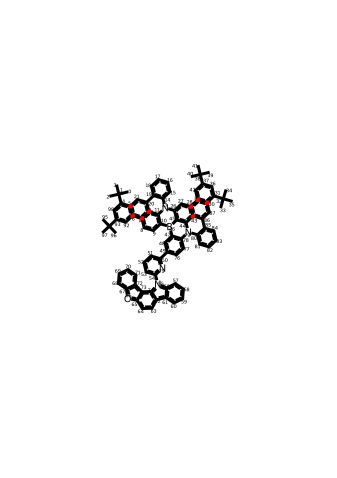 CC(C)(C)c1cc(-c2ccc3c(c2)N(c2ccccc2-c2ccccc2)c2cc(-c4cc(C(C)(C)C)cc(C(C)(C)C)c4)cc4c2B3c2cc(-c3cccc(-n5c6ccccc6c6ccc7oc8ccccc8c7c65)n3)ccc2N4c2ccccc2-c2ccccc2)cc(C(C)(C)C)c1